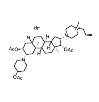 C=CC[N+]1(C)CCN([C@H]2C[C@H]3[C@@H]4CC[C@H]5C[C@H](OC(C)=O)[C@@H](N6CCC(OC(C)=O)CC6)C[C@]5(C)[C@H]4CC[C@]3(C)[C@H]2OC(C)=O)CC1.[Br-]